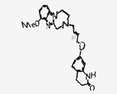 COc1cccc2c1nc1n2CCN(C/C=C/COc2ccc3c(c2)NC(=O)CC3)C1